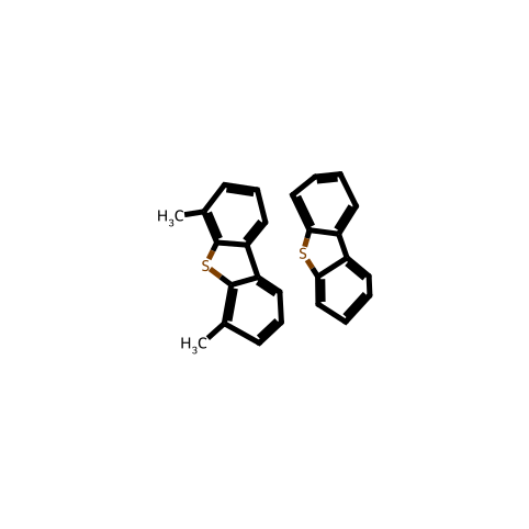 Cc1cccc2c1sc1c(C)cccc12.c1ccc2c(c1)sc1ccccc12